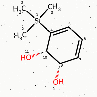 C[Si](C)(C)C1=CC=C[C@H](O)[C@@H]1O